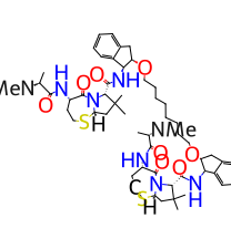 CN[C@@H](C)C(=O)N[C@H]1CCS[C@H]2CC(C)(C)[C@@H](C(=O)NC3c4ccccc4C[C@H]3OCCCCCCCCO[C@@H]3Cc4ccccc4[C@@H]3NC(=O)[C@H]3N4C(=O)[C@@H](NC(=O)[C@H](C)NC)CCS[C@H]4CC3(C)C)N2C1=O